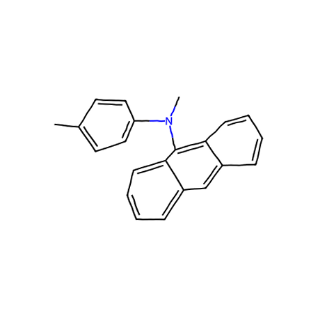 Cc1ccc(N(C)c2c3ccccc3cc3ccccc23)cc1